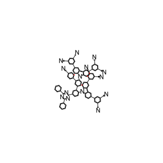 N#Cc1ccc(-c2cc(-c3cc(-c4nc(-c5ccccc5)nc(-c5ccccc5)n4)ccc3-n3c4ccc(-c5cc(C#N)cc(C#N)c5)cc4c4cc(-c5cc(C#N)cc(C#N)c5)ccc43)ccc2-n2c3ccc(-c4cc(C#N)cc(C#N)c4)cc3c3cc(-c4cc(C#N)cc(C#N)c4)ccc32)cc1